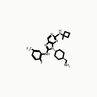 CC1(Nc2ncc3nc(Nc4cc(C(F)(F)F)ccc4F)n([C@H]4CC[C@H](CN)CC4)c3n2)CCC1